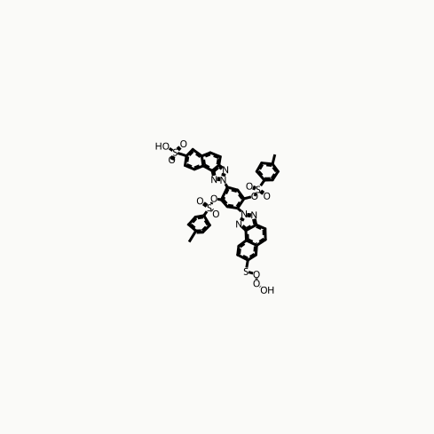 Cc1ccc(S(=O)(=O)Oc2cc(-n3nc4ccc5cc(S(=O)(=O)O)ccc5c4n3)c(OS(=O)(=O)c3ccc(C)cc3)cc2-n2nc3ccc4cc(SOOO)ccc4c3n2)cc1